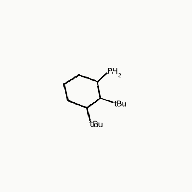 CC(C)(C)C1CCCC(P)C1C(C)(C)C